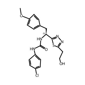 COc1ccc(C[C@H](NC(=O)Nc2ccc(Cl)cc2)c2nnc(CCO)s2)cc1